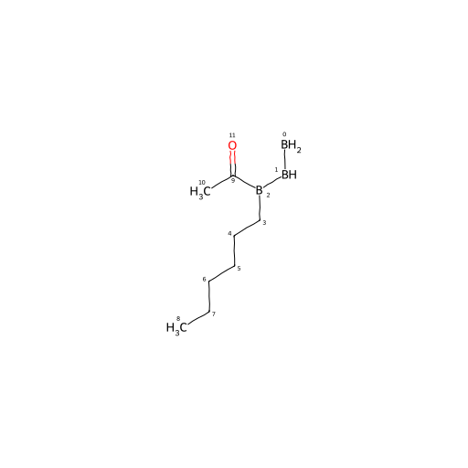 BBB(CCCCCC)C(C)=O